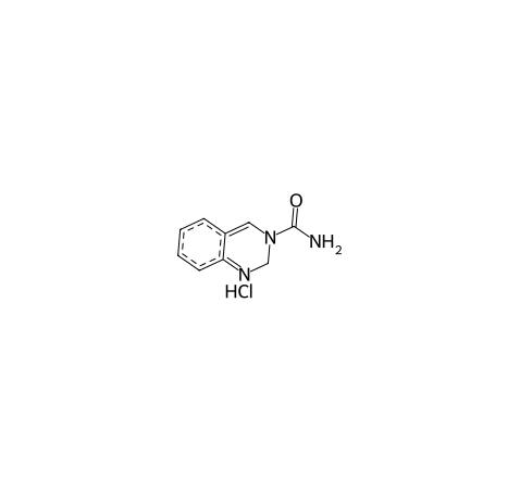 Cl.NC(=O)N1C=c2ccccc2=NC1